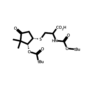 CC(C)(C)OC(=O)NC(CS[C@H]1CC(=O)C(C)(C)[C@H]1OC(=O)C(C)(C)C)C(=O)O